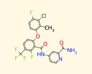 Cc1c(Oc2ccc(C(F)(F)F)c(F)c2C(=O)Nc2ccnc(C(N)=O)c2)ccc(F)c1Cl